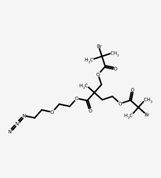 CC(C)(Br)C(=O)OCCC(C)(COC(=O)C(C)(C)Br)C(=O)OCCOCCN=[N+]=[N-]